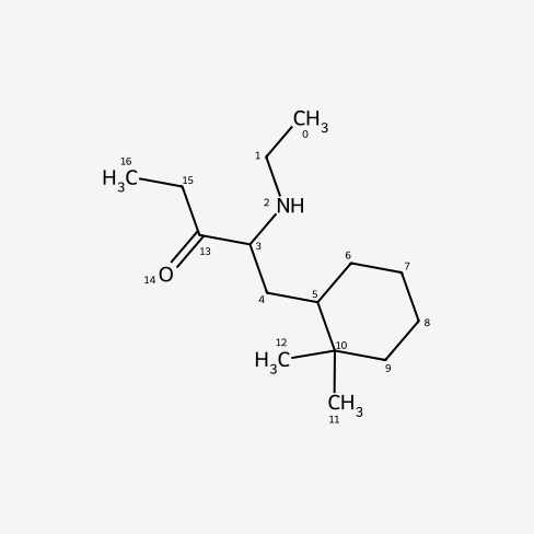 CCNC(CC1CCCCC1(C)C)C(=O)CC